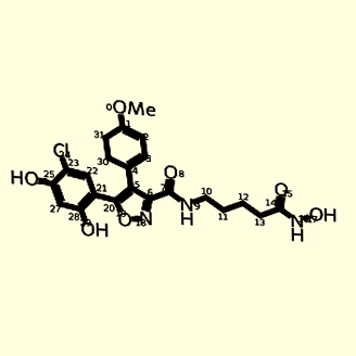 COC1=CC=C(c2c(C(=O)NCCCCC(=O)NO)noc2-c2cc(Cl)c(O)cc2O)CC1